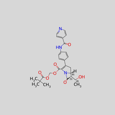 C[C@@H](O)[C@H]1C(=O)N2C(C(=O)OCOC(=O)C(C)(C)C)=C(c3ccc(NC(=O)c4ccncc4)cc3)C[C@H]12